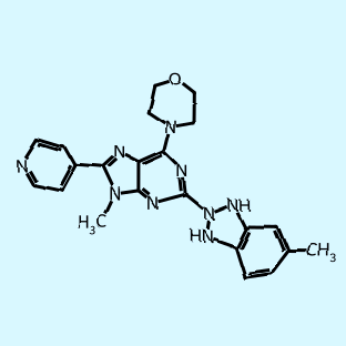 Cc1ccc2c(c1)NN(c1nc(N3CCOCC3)c3nc(-c4ccncc4)n(C)c3n1)N2